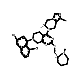 C[C@@H]1Cn2cnc(F)c2CN1c1nc(OC[C@@H]2CCCCN2C)nc2c1CCN(c1cc(O)cc3cccc(Cl)c13)C2